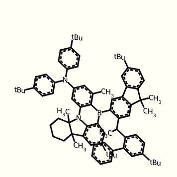 Cc1cc(N(c2ccc(C(C)(C)C)cc2)c2ccc(C(C)(C)C)cc2)cc2c1B(c1cc3c(cc1C(C)c1ccc(C(C)(C)C)cc1-c1ccccc1)C(C)(C)c1ccc(C(C)(C)C)cc1-3)c1cc(C(C)(C)C)cc3c1N2C1(C)CCCCC31C